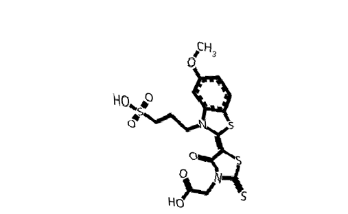 COc1ccc2c(c1)N(CCCS(=O)(=O)O)C(=C1SC(=S)N(CC(=O)O)C1=O)S2